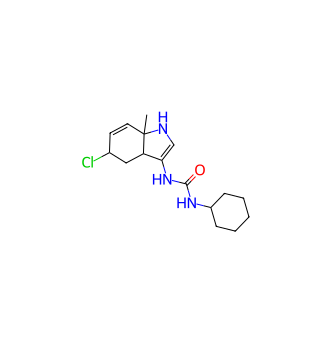 CC12C=CC(Cl)CC1C(NC(=O)NC1CCCCC1)=CN2